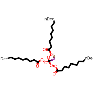 CCCCCCCCCCCCCCCCCC(=O)OOC(OOC(=O)CCCCCCCCCCCCCCCCC)(OOC(=O)CCCCCCCCCCCCCCCCC)P=S